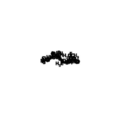 Cc1ncsc1-c1ccc(CNC(=O)[C@@H]2CCCN2C(=O)[C@@H](NC(=O)COCCC(C)(C)CCOc2cc(F)c([C@@H]3c4[nH]c5ccccc5c4CCN3CC(C)(C)F)c(F)c2)C(C)(C)C)cc1